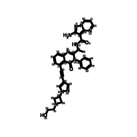 CC(NC(=O)c1c(N)nn2cccnc12)c1nc2cccc(C#Cc3cnn(C4CN(CCO)C4)c3)c2c(=O)n1-c1ccccc1